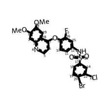 COc1cc2nccc(Oc3ccc(NS(=O)(=O)c4ccc(Br)c(Cl)c4)cc3F)c2cc1OC